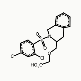 O=C(O)COCC1Cc2ccccc2CN1S(=O)(=O)c1ccc(Cl)cc1Cl